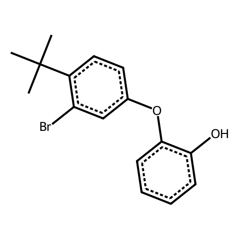 CC(C)(C)c1ccc(Oc2ccccc2O)cc1Br